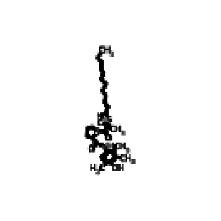 CCCCCCCCCCCCSC(C)(C)C(=O)N1CCCC1C(=O)Nc1cc(C)c(O)c(C)c1C